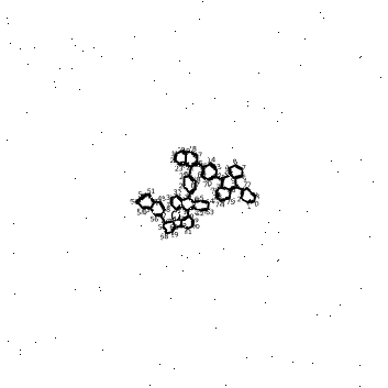 c1ccc(-c2c3ccccc3c(-c3ccc(-c4ccc5ccccc5c4-c4ccc(-c5c6ccccc6c(-c6cccc7c6oc6c(-c8ccc9ccccc9c8)cccc67)c6ccccc56)cc4)cc3)c3ccccc23)cc1